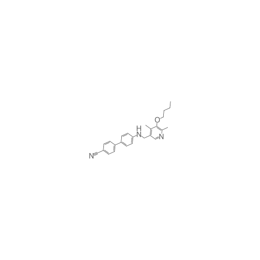 CCCCOc1c(C)ncc(CNc2ccc(-c3ccc(C#N)cc3)cc2)c1C